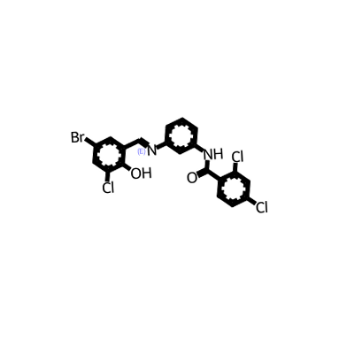 O=C(Nc1cccc(/N=C/c2cc(Br)cc(Cl)c2O)c1)c1ccc(Cl)cc1Cl